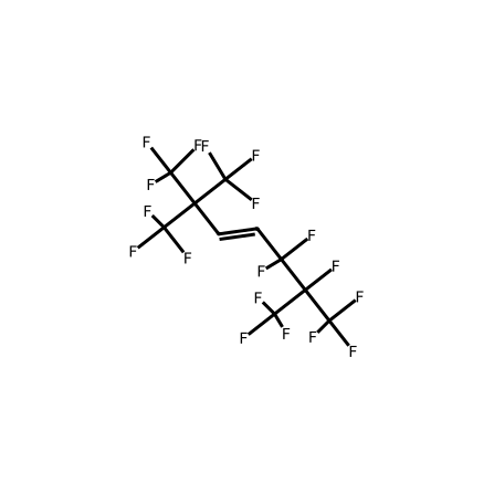 FC(F)(F)C(F)(C(F)(F)F)C(F)(F)C=CC(C(F)(F)F)(C(F)(F)F)C(F)(F)F